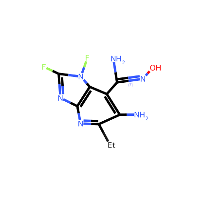 CCc1nc2nc(F)n(F)c2c(/C(N)=N/O)c1N